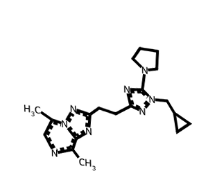 Cc1ncc(C)n2nc(CCc3nc(N4CCCC4)n(CC4CC4)n3)nc12